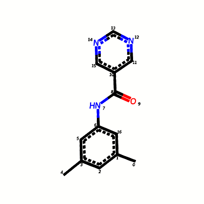 Cc1cc(C)cc(NC(=O)c2cncnc2)c1